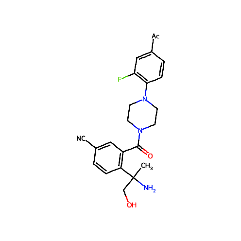 CC(=O)c1ccc(N2CCN(C(=O)c3cc(C#N)ccc3C(C)(N)CO)CC2)c(F)c1